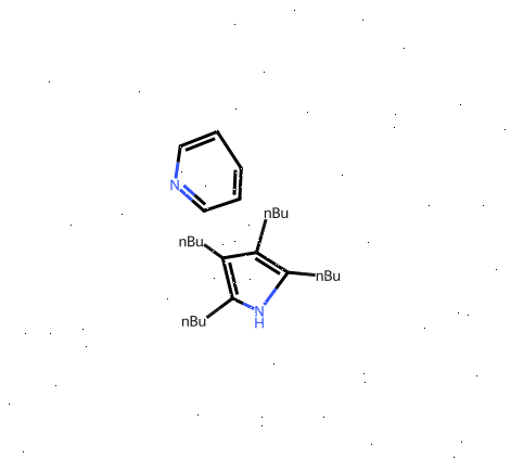 CCCCc1[nH]c(CCCC)c(CCCC)c1CCCC.c1ccncc1